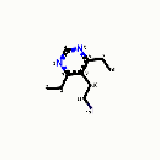 CCc1ncnc(CC)c1CCI